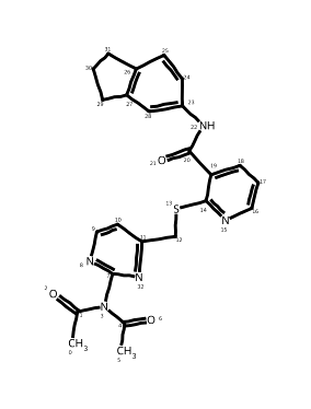 CC(=O)N(C(C)=O)c1nccc(CSc2ncccc2C(=O)Nc2ccc3c(c2)CCC3)n1